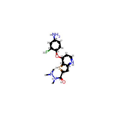 CN(C)N(C)C(=O)c1cc2nccc(Oc3ccc(N)cc3F)c2s1